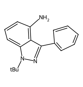 CC(C)(C)n1nc(-c2ccccc2)c2c(N)cccc21